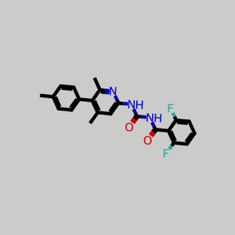 Cc1ccc(-c2c(C)cc(NC(=O)NC(=O)c3c(F)cccc3F)nc2C)cc1